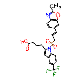 Cc1nc2ccc(C=CCS(=O)(=O)n3c(CCCC(=O)O)cc4cc(C(F)(F)F)ccc43)cc2o1